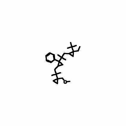 CCC1(C(C)(C)C)CC1CC(C)(C)C1(c2ccccc2)CC1CC(C)(C)C1(COC)CC1